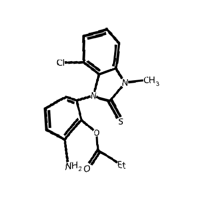 CCC(=O)Oc1c(N)cccc1-n1c(=S)n(C)c2cccc(Cl)c21